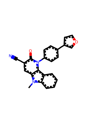 Cn1c2ccccc2c2c1cc(C#N)c(=O)n2-c1ccc(-c2ccoc2)cc1